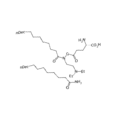 CCCCCCCCCCCCCCCCCC(=O)N(CCN(CC)CC)OC(=O)CC[C@H](N)C(=O)O.CCCCCCCCCCCCCCCCCC(N)=O